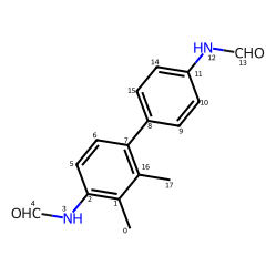 Cc1c(NC=O)ccc(-c2ccc(NC=O)cc2)c1C